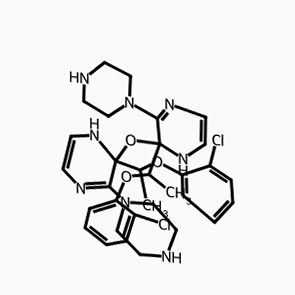 CC(Oc1ccccc1Cl)C1(OC2(C(C)Oc3ccccc3Cl)NC=CN=C2N2CCNCC2)NC=CN=C1N1CCNCC1